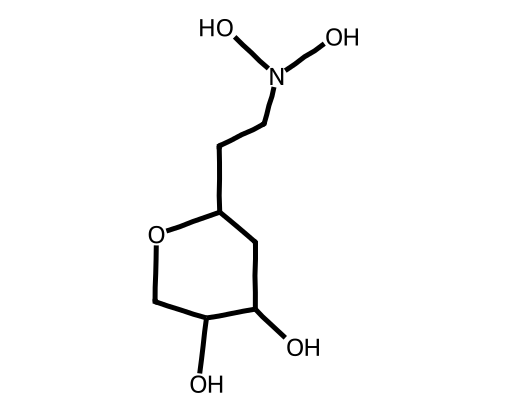 OC1COC(CCN(O)O)CC1O